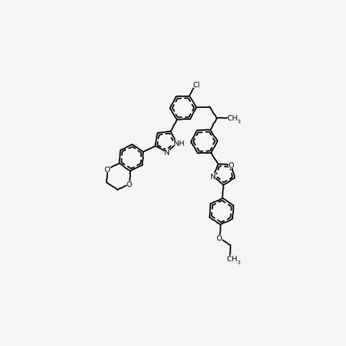 CCOc1ccc(-c2coc(-c3cccc(C(C)Cc4cc(-c5cc(-c6ccc7c(c6)OCCO7)n[nH]5)ccc4Cl)c3)n2)cc1